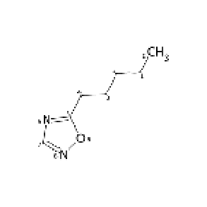 CCCCCc1ncno1